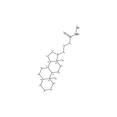 CC(C)NC(=O)CCCC1CCC2C3CCC4CCCCC4(C)C3CCC12C